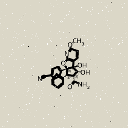 COc1ccc2c(n1)O[C@@]1(c3ccc(C#N)cc3)[C@H](c3ccccc3)[C@@H](C(N)=O)[C@@H](O)[C@@]21O